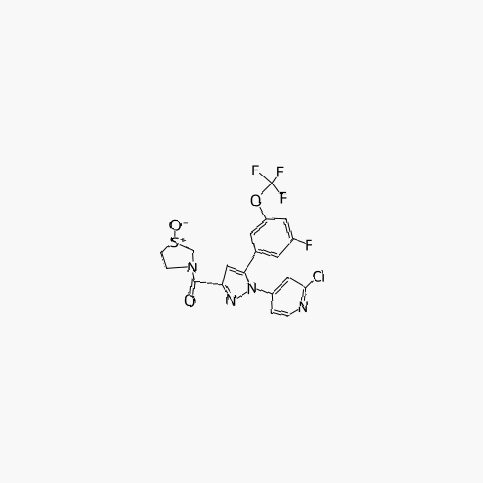 O=C(c1cc(-c2cc(F)cc(OC(F)(F)F)c2)n(-c2ccnc(Cl)c2)n1)N1CC[S+]([O-])C1